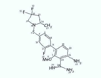 COc1c(-c2ccc(SN3CC(F)(F)CC3C)cc2F)ccc(N)c1C(=N)N